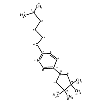 CN(C)CCCOc1ccc(B2CC(C)(C)C(C)(C)C2)cn1